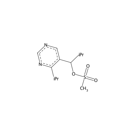 CC(C)c1ncncc1C(OS(C)(=O)=O)C(C)C